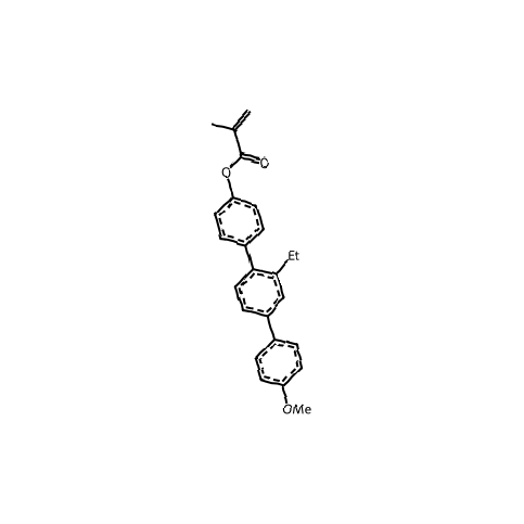 C=C(C)C(=O)Oc1ccc(-c2ccc(-c3ccc(OC)cc3)cc2CC)cc1